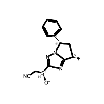 N#CC[S@+]([O-])c1nc2n(n1)[C@H](c1ccccc1)C[C@@H]2F